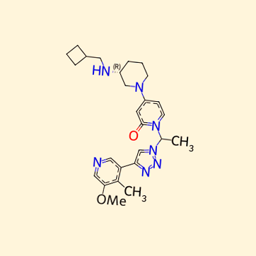 COc1cncc(-c2cn(C(C)n3ccc(N4CCC[C@@H](NCC5CCC5)C4)cc3=O)nn2)c1C